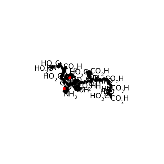 Nc1ccc(C[C@H](NC(=O)CCC(NCCN(CCN(CCNCC(=O)O)CC(=O)O)CC(=O)O)C(=O)O)C(=O)N[C@H](Cc2ccc(O)cc2)C(=O)N[C@H](Cc2ccc3ccccc3c2)C(=O)N[C@H](CCCCNC(=O)[C@@H](CC(=O)NCCCC(NC(=O)CC[C@H](NC(=O)N[C@@H](CCC(=O)O)C(=O)O)C(=O)O)C(=O)O)NC(=O)c2cc(C(=O)O)cc(C(=O)O)c2)C(=O)O)cc1